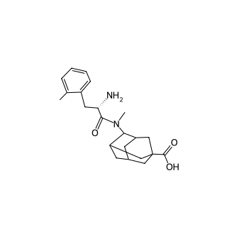 Cc1ccccc1C[C@H](N)C(=O)N(C)C1C2CC3CC1CC(C(=O)O)(C3)C2